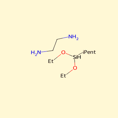 CCCC(C)[SiH](OCC)OCC.NCCN